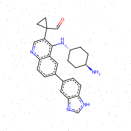 N[C@H]1CC[C@H](Nc2c(C3(C=O)CC3)cnc3ccc(-c4ccc5[nH]cnc5c4)cc23)CC1